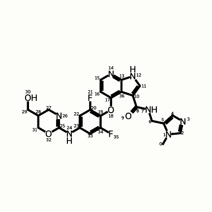 Cn1cncc1CNC(=O)c1c[nH]c2nccc(Oc3c(F)cc(NC4=NCC(CO)CO4)cc3F)c12